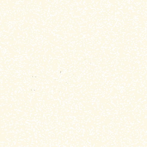 COc1cc2ncnc(Nc3ccc4c(c3)CCN4C(=O)Cc3ccsc3)c2cc1OC